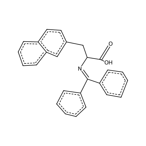 O=C(O)C(Cc1ccc2ccccc2c1)N=C(c1ccccc1)c1ccccc1